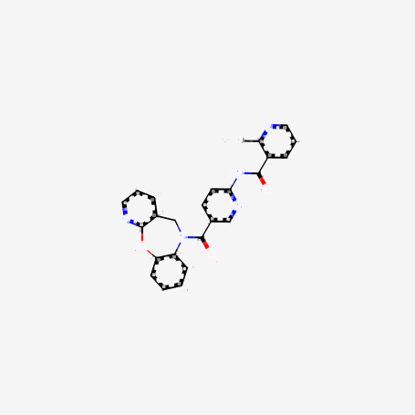 CNc1ncccc1C(=O)Nc1ccc(C(=O)N2Cc3cccnc3Oc3ccccc32)cn1